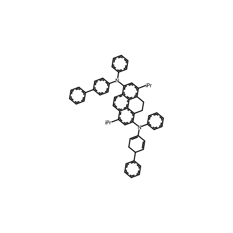 CC(C)c1cc(N(c2ccccc2)c2ccc(-c3ccccc3)cc2)c2ccc3c(C(C)C)cc(N(C4=CCC(c5ccccc5)C=C4)c4ccccc4)c4c3c2c1CC4